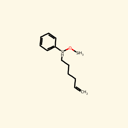 C=CCCCC[SiH](O[SiH3])c1ccccc1